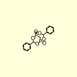 O=P12CP(=O)(OC(c3ccccc3)O1)OC(c1ccccc1)O2